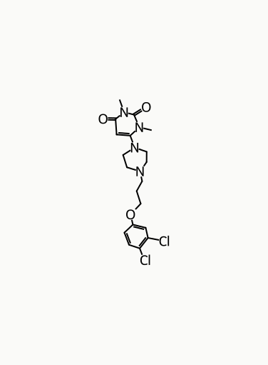 Cn1c(N2CCN(CCCOc3ccc(Cl)c(Cl)c3)CC2)cc(=O)n(C)c1=O